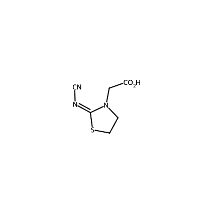 N#CN=C1SCCN1CC(=O)O